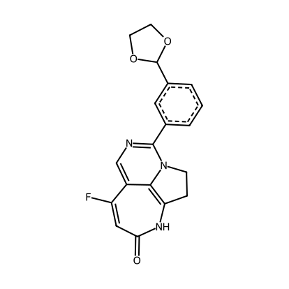 O=C1C=C(F)C2=CN=C(c3cccc(C4OCCO4)c3)N3CCC(=C23)N1